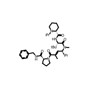 C/C(=C\[C@H](C(C)C)N(C)C(=O)[C@@H](NC(=O)[C@H]1CCCCN1C(C)C)C(C)(C)C)C(=O)N1CCC[C@H]1C(=O)NCc1ccccc1